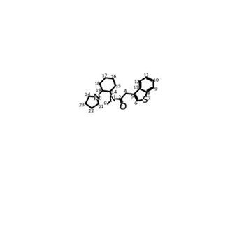 CN(C(=O)Cc1csc2ccccc12)C1CCCCC1N1CCCC1